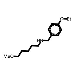 CCOc1ccc(CNCCCCCOC)cc1